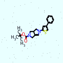 CC(C)(C)OC(=O)N1CC2=CN(c3cc(-c4ccccc4)cs3)CC2C1